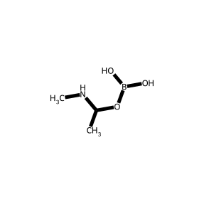 CNC(C)OB(O)O